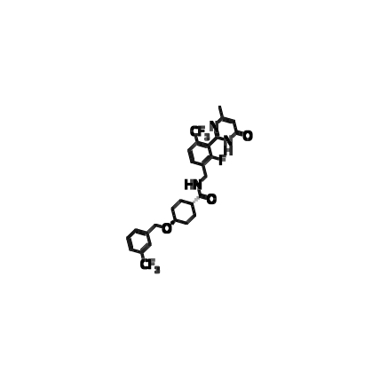 Cc1cc(=O)[nH]c(-c2c(C(F)(F)F)ccc(CNC(=O)[C@H]3CC[C@H](OCc4cccc(C(F)(F)F)c4)CC3)c2F)n1